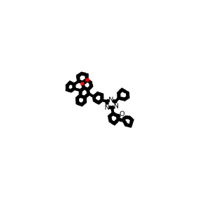 c1ccc(-c2nc(-c3ccc(-c4c5ccccc5c(-c5ccccc5-c5ccccc5)c5ccccc45)cc3)nc(-c3cccc4c3oc3ccccc34)n2)cc1